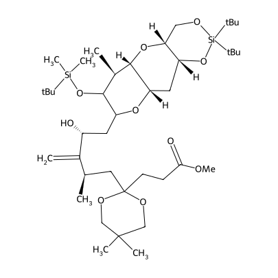 C=C([C@H](C)CC1(CCC(=O)OC)OCC(C)(C)CO1)[C@H](O)CC1O[C@H]2C[C@H]3O[Si](C(C)(C)C)(C(C)(C)C)OC[C@H]3O[C@H]2[C@H](C)C1O[Si](C)(C)C(C)(C)C